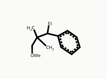 CCC(c1ccccc1)C(C)(C)COC